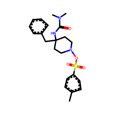 Cc1ccc(S(=O)(=O)ON2CCC(Cc3ccccc3)(NC(=O)N(C)C)CC2)cc1